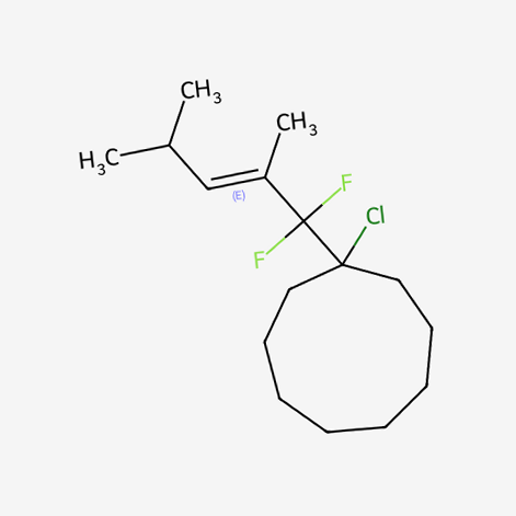 C/C(=C\C(C)C)C(F)(F)C1(Cl)CCCCCCCC1